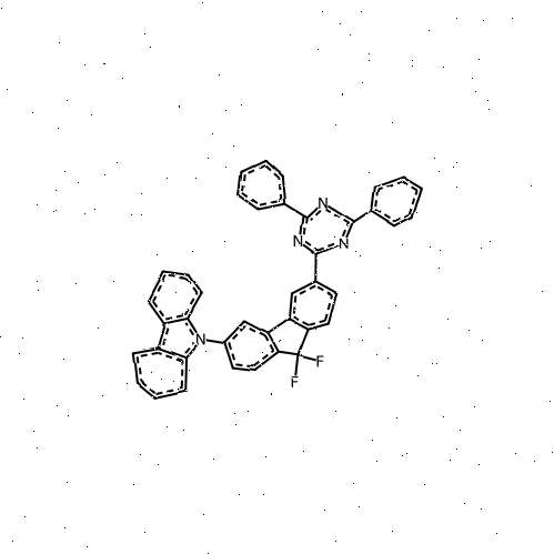 FC1(F)c2ccc(-c3nc(-c4ccccc4)nc(-c4ccccc4)n3)cc2-c2cc(-n3c4ccccc4c4ccccc43)ccc21